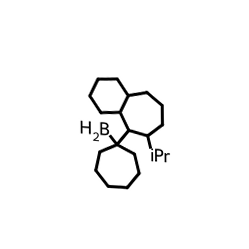 BC1(C2C(C(C)C)CCCC3CCCCC32)CCCCCC1